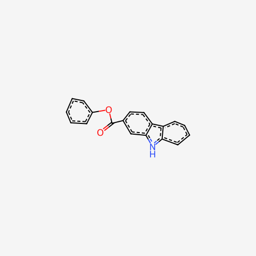 O=C(Oc1ccccc1)c1ccc2c(c1)[nH]c1ccccc12